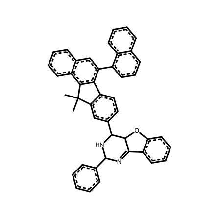 CC1(C)c2cc(C3NC(c4ccccc4)N=C4c5ccccc5OC43)ccc2-c2c(-c3cccc4ccccc34)cc3ccccc3c21